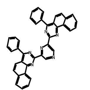 c1ccc(-c2nc(-c3cncc(-c4nc(-c5ccccc5)c5ccc6ccccc6c5n4)n3)nc3c2ccc2ccccc23)cc1